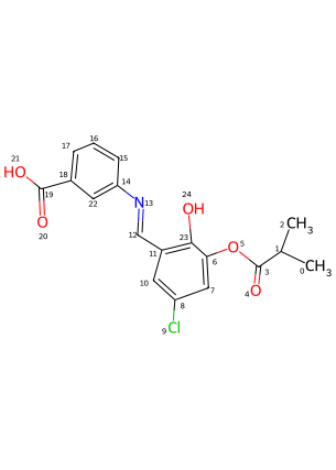 CC(C)C(=O)Oc1cc(Cl)cc(C=Nc2cccc(C(=O)O)c2)c1O